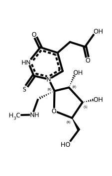 CNC[C@@]1(n2cc(CC(=O)O)c(=O)[nH]c2=S)O[C@H](CO)[C@@H](O)[C@H]1O